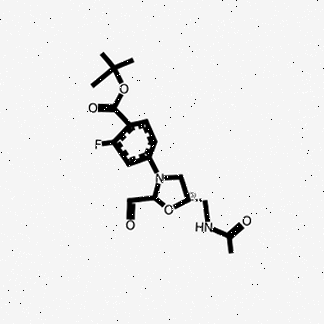 CC(=O)NC[C@H]1CN(c2ccc(C(=O)OC(C)(C)C)c(F)c2)C(C=O)O1